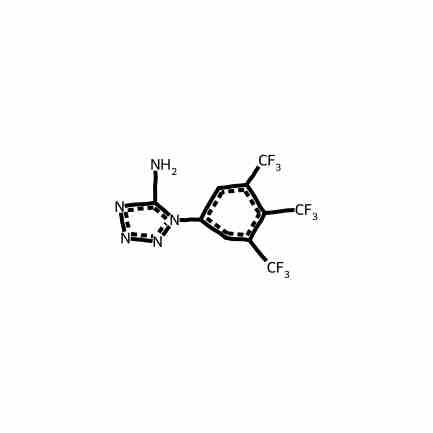 Nc1nnnn1-c1cc(C(F)(F)F)c(C(F)(F)F)c(C(F)(F)F)c1